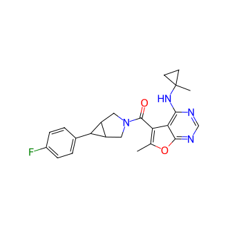 Cc1oc2ncnc(NC3(C)CC3)c2c1C(=O)N1CC2C(C1)C2c1ccc(F)cc1